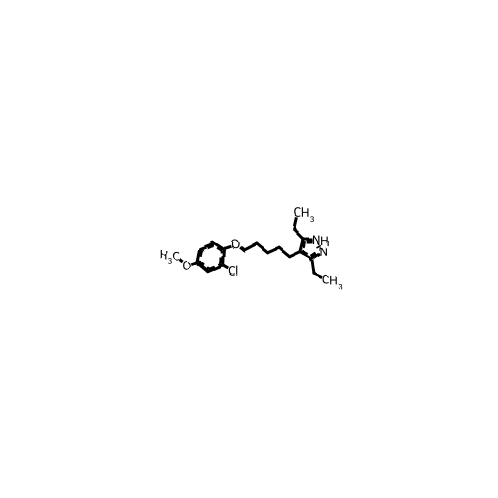 CCc1n[nH]c(CC)c1CCCCCOc1ccc(OC)cc1Cl